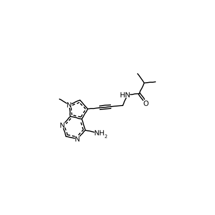 CC(C)C(=O)NCC#Cc1cn(C)c2ncnc(N)c12